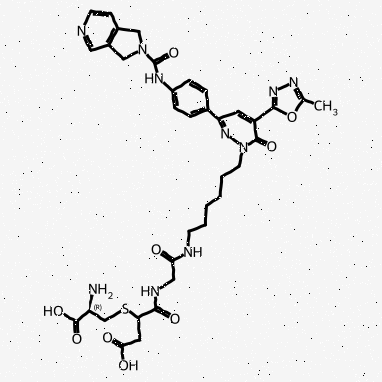 Cc1nnc(-c2cc(-c3ccc(NC(=O)N4Cc5ccncc5C4)cc3)nn(CCCCCCNC(=O)CNC(=O)C(CC(=O)O)SC[C@H](N)C(=O)O)c2=O)o1